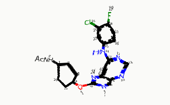 CC(=O)NC1CCC(Oc2ncc3ncnc(Nc4ccc(F)c(Cl)c4)c3n2)CC1